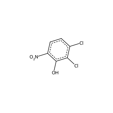 O=[N+]([O-])c1ccc(Cl)c(Cl)c1O